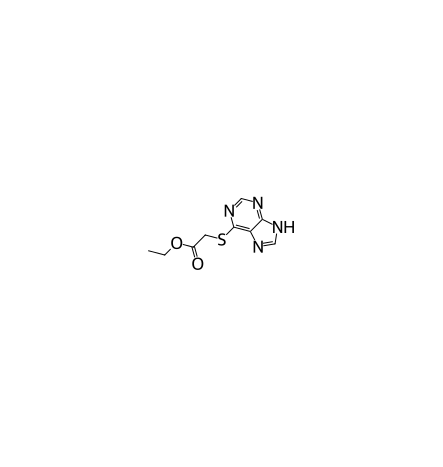 CCOC(=O)CSc1ncnc2[nH]cnc12